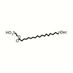 CCCCCCCCCCCCCCCCCCCCCCCCCCCC(=O)OCCS(=O)(=O)O